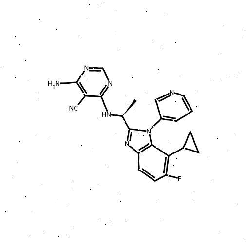 C[C@H](Nc1ncnc(N)c1C#N)c1nc2ccc(F)c(C3CC3)c2n1-c1cccnc1